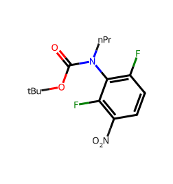 CCCN(C(=O)OC(C)(C)C)c1c(F)ccc([N+](=O)[O-])c1F